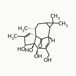 CC1=C[C@]23C(=O)[C@@H](C=C(CO)[C@@H](O)[C@]2(O)[C@@H]1O)C1C(C[C@H]3C)C1(C)C